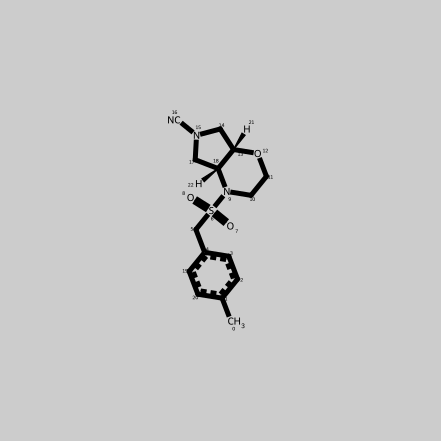 Cc1ccc(CS(=O)(=O)N2CCO[C@H]3CN(C#N)C[C@H]32)cc1